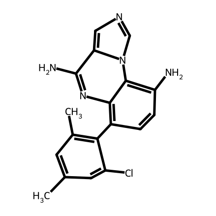 Cc1cc(C)c(-c2ccc(N)c3c2nc(N)c2cncn23)c(Cl)c1